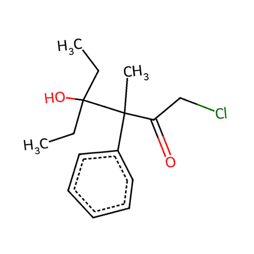 CCC(O)(CC)C(C)(C(=O)CCl)c1ccccc1